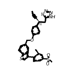 CC#C[C@@H](Cc1nnn[nH]1)c1ccc(OCc2ccc3scc(-c4ccc(S(C)(=O)=O)cc4C)c3c2)cc1